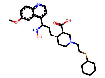 COc1ccc2nccc(C(CC[C@@H]3CCN(CCSC4CCCCC4)C[C@@H]3C(=O)O)NO)c2c1